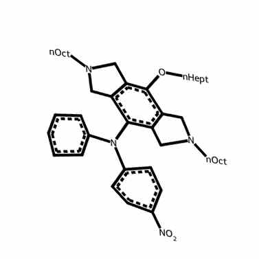 CCCCCCCCN1Cc2c(c(N(c3ccccc3)c3ccc([N+](=O)[O-])cc3)c3c(c2OCCCCCCC)CN(CCCCCCCC)C3)C1